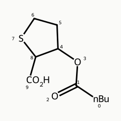 CCCCC(=O)OC1CCSC1C(=O)O